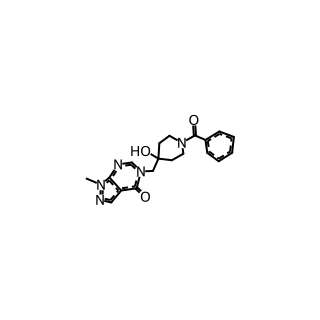 Cn1ncc2c(=O)n(CC3(O)CCN(C(=O)c4ccccc4)CC3)cnc21